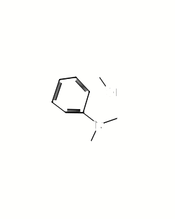 CN(C)c1ccccc1.CO